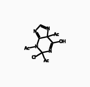 CC(=O)N1C2=NC=NC2(C(C)=O)C(O)=NC1(Cl)C(C)=O